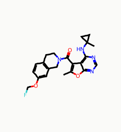 Cc1oc2ncnc(NC3(C)CC3)c2c1C(=O)N1CCc2ccc(OCF)cc2C1